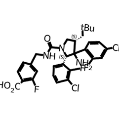 CC(C)(C)C[C@H]1CN(C(=O)NCc2ccc(C(=O)O)c(F)c2)[C@@H](c2cccc(Cl)c2F)C1(N)c1ccc(Cl)cc1F